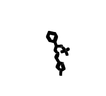 Cn1cnc(C=NCC(O[Si](C)(C)C)c2ccccc2)c1